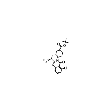 CC(N)c1nc2cccc(Cl)c2c(=O)n1N1CCN(C(=O)OC(C)(C)C)CC1